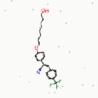 N#C/C(=C\c1ccc(C(F)(F)F)cc1)c1ccc(OCCCCCCCCO)cc1